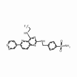 NS(=O)(=O)c1ccc(CNc2nc(NCC(F)(F)F)c3nc(-c4ccnnc4)ccc3n2)cc1